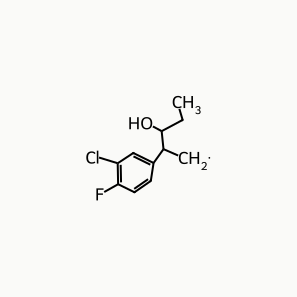 [CH2]C(c1ccc(F)c(Cl)c1)C(O)CC